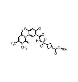 Cn1c(C(F)(F)F)cc(=O)n(-c2cc(C(=O)NS(=O)(=O)C3CN(C(=O)OC(C)(C)C)C3)c(Cl)cc2F)c1=O